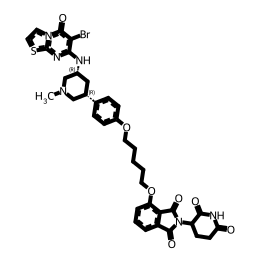 CN1C[C@H](Nc2nc3sccn3c(=O)c2Br)C[C@H](c2ccc(OCCCCCOc3cccc4c3C(=O)N(C3CCC(=O)NC3=O)C4=O)cc2)C1